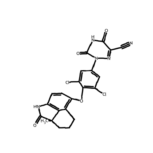 CC12CCCc3c(Oc4c(Cl)cc(-n5nc(C#N)c(=O)[nH]c5=O)cc4Cl)ccc(c31)NC2=O